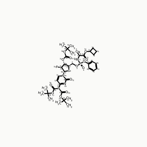 CC(NP(=O)(OC[C@H]1S[C@@H](n2ccc(N(C(=O)OC(C)(C)C)C(=O)OC(C)(C)C)nc2=O)[C@@H](F)[C@@H]1OC(=O)OC(C)(C)C)Oc1ccccc1)C(=O)OC1CCC1